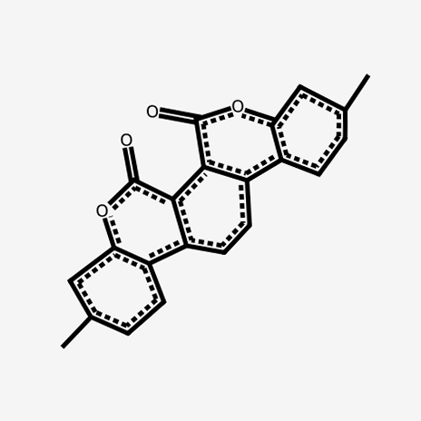 Cc1ccc2c(c1)oc(=O)c1c2ccc2c3ccc(C)cc3oc(=O)c21